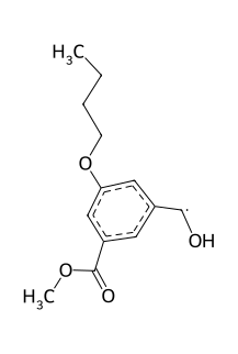 CCCCOc1cc([CH]O)cc(C(=O)OC)c1